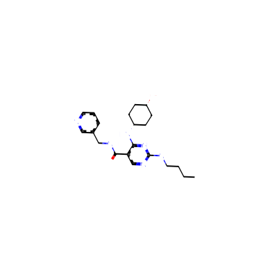 CCCCNc1ncc(C(=O)NCc2cccnc2)c(N[C@H]2CC[C@H](O)CC2)n1